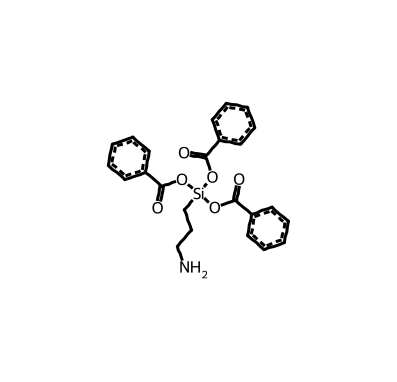 NCCC[Si](OC(=O)c1ccccc1)(OC(=O)c1ccccc1)OC(=O)c1ccccc1